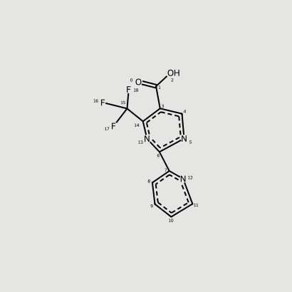 O=C(O)c1cnc(-c2ccccn2)nc1C(F)(F)F